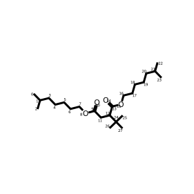 CC(C)CCCCCOC(=O)CC(C(=O)OCCCCCC(C)C)C(C)(C)C